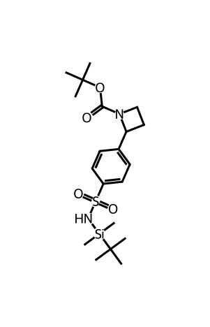 CC(C)(C)OC(=O)N1CCC1c1ccc(S(=O)(=O)N[Si](C)(C)C(C)(C)C)cc1